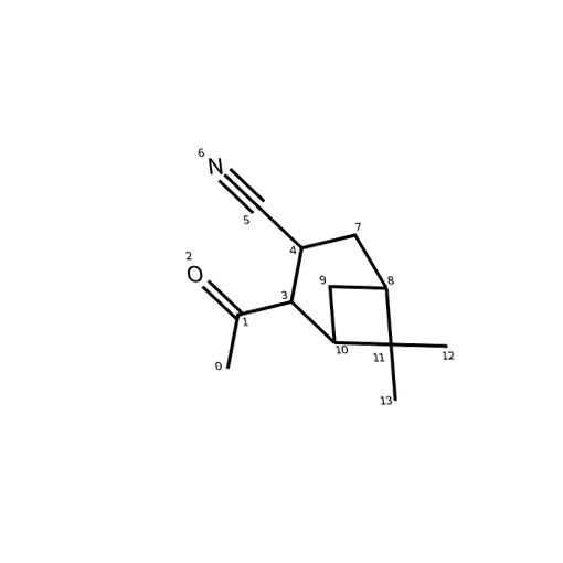 CC(=O)C1C(C#N)CC2CC1C2(C)C